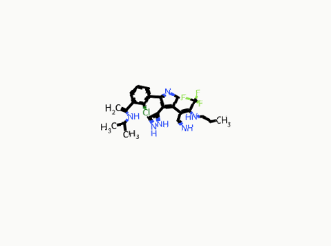 C=C(NC(C)C)c1cccc(C2=NCC(/C(C=N)=C(/NCCC)C(F)(F)F)=C2c2c[nH][nH]2)c1Cl